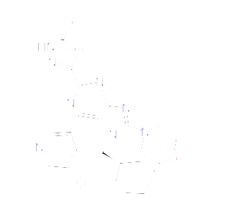 C[C@@H]1OCCN(c2nc3nc(-c4n[nH]c(=O)o4)nc(-c4cncc(Cl)c4)c3n2C[C@H]2CC[C@H](C)CC2)[C@@H]1C